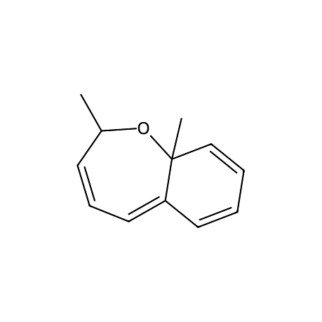 CC1C=CC=C2C=CC=CC2(C)O1